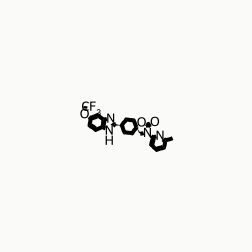 Cc1cccc(N2C[C@]3(CC[C@@H](c4nc5cc(OC(F)(F)F)ccc5[nH]4)CC3)OC2=O)n1